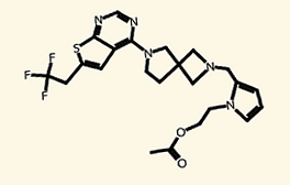 CC(=O)OCCn1cccc1CN1CC2(CCN(c3ncnc4sc(CC(F)(F)F)cc34)C2)C1